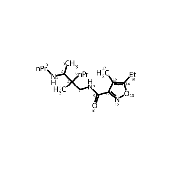 CCCNC(C)C(C)(CCC)CNC(=O)c1noc(CC)c1C